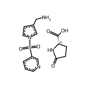 NCc1ccn(S(=O)(=O)c2cccnc2)c1.O=C1CC[C@@H](C(=O)O)N1